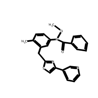 CON(C(=O)c1ccccc1)c1ccc(C)c(Cc2nc(-c3cccnc3)cs2)c1